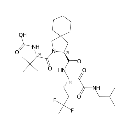 CC(C)CNC(=O)C(=O)[C@H](CCC(C)(F)F)NC(=O)[C@@H]1CC2(CCCCC2)CN1C(=O)[C@@H](NC(=O)O)C(C)(C)C